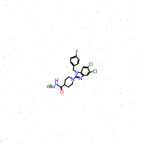 CCCCNC(=O)C1CCN(c2nc3cc(Cl)c(Cl)cc3n2Cc2ccc(F)cc2)CC1